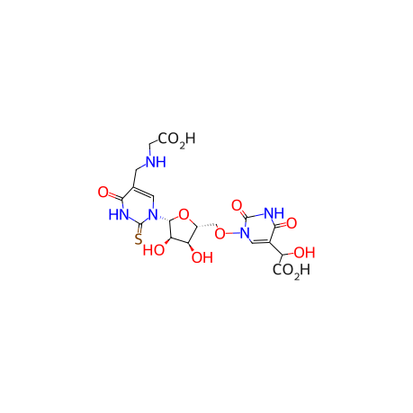 O=C(O)CNCc1cn([C@@H]2O[C@H](COn3cc(C(O)C(=O)O)c(=O)[nH]c3=O)[C@@H](O)[C@H]2O)c(=S)[nH]c1=O